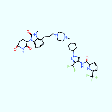 Cn1c(=O)n(C2CCC(=O)NC2=O)c2cccc(CCCN3CCN(C[C@H]4CC[C@H](n5cc(NC(=O)c6cccc(C(F)(F)F)n6)c(C(F)F)n5)CC4)CC3)c21